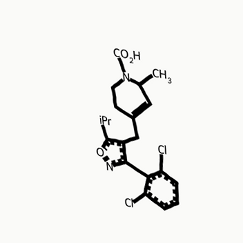 CC(C)c1onc(-c2c(Cl)cccc2Cl)c1CC1=CC(C)N(C(=O)O)CC1